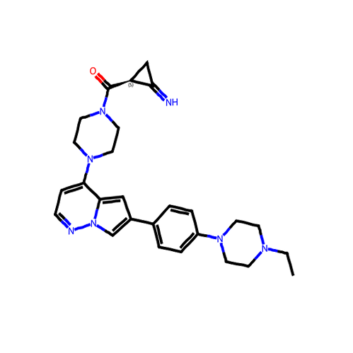 CCN1CCN(c2ccc(-c3cc4c(N5CCN(C(=O)[C@H]6CC6=N)CC5)ccnn4c3)cc2)CC1